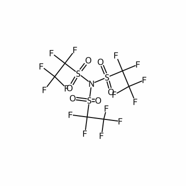 O=S(=O)(N(S(=O)(=O)C(F)(F)C(F)(F)F)S(=O)(=O)C(F)(F)C(F)(F)F)C(F)(F)C(F)(F)F